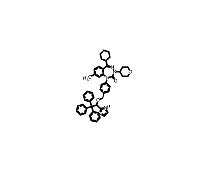 Cc1ccc2c(c1)N(c1ccc(COC(c3ncc[nH]3)C(c3ccccc3)(c3ccccc3)c3ccccc3)cc1)C(=O)N(C1CCOCC1)N=C2C1CCCCC1